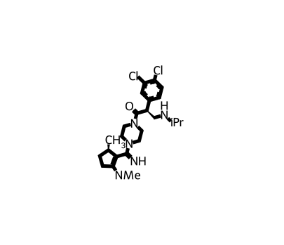 CNC1=C(C(=N)N2CCN(C(=O)[C@H](CNC(C)C)c3ccc(Cl)c(Cl)c3)CC2)[C@H](C)CC1